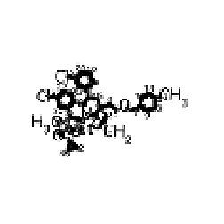 C=CC[C@]1(CCOCc2ccc(C)cc2)C[C@H](c2cccc(Cl)c2)[C@@H](c2ccc(Cl)cc2)N([C@@H](CC)CN(C)S(=O)(=O)C2CC2)C1=O